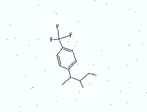 CCC(C)C(C)c1ccc(C(F)(F)F)cc1